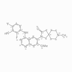 CCCc1c(F)ccc(Nc2ncnc3cc(OC)c(N4CC5(CCN(C)CC5)CC4=O)cc23)c1F